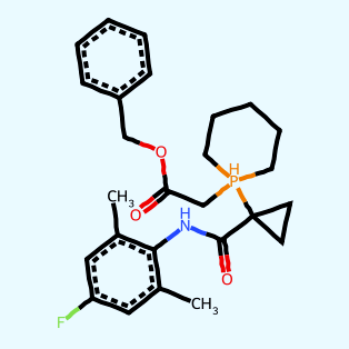 Cc1cc(F)cc(C)c1NC(=O)C1([PH]2(CC(=O)OCc3ccccc3)CCCCC2)CC1